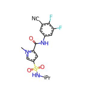 CC(C)NS(=O)(=O)c1cc(C(=O)Nc2cc(F)c(F)c(C#N)c2)n(C)c1